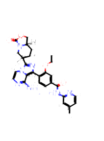 CCOc1cc(C(=O)Nc2cc(C)ccn2)ccc1-c1nc([C@@]2(C)CC[C@@H]3COC(=O)N3C2)n2ccnc(N)c12